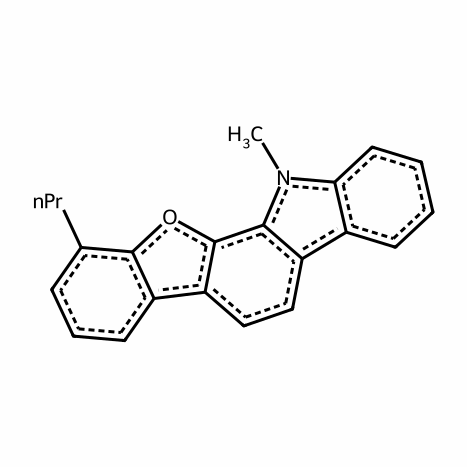 CCCc1cccc2c1oc1c2ccc2c3ccccc3n(C)c21